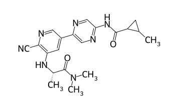 CC1CC1C(=O)Nc1cnc(-c2cnc(C#N)c(N[C@@H](C)C(=O)N(C)C)c2)cn1